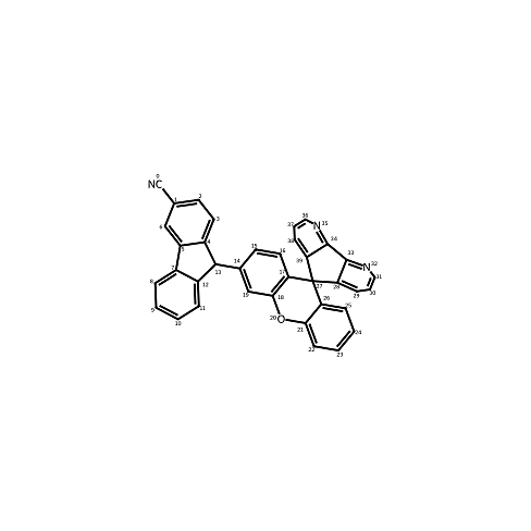 N#Cc1ccc2c(c1)-c1ccccc1C2c1ccc2c(c1)Oc1ccccc1C21c2cccnc2-c2ncccc21